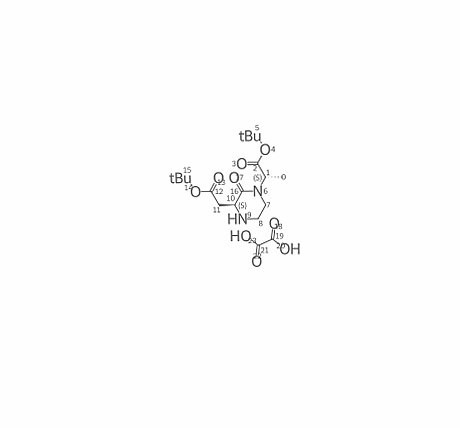 C[C@@H](C(=O)OC(C)(C)C)N1CCN[C@@H](CC(=O)OC(C)(C)C)C1=O.O=C(O)C(=O)O